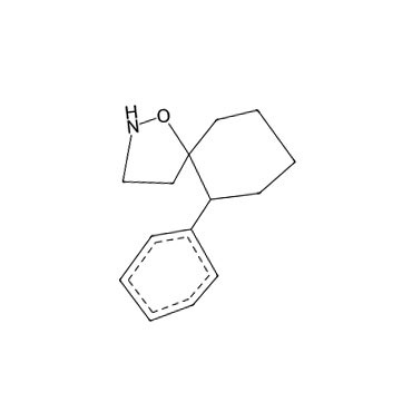 c1ccc(C2CCCCC23CCNO3)cc1